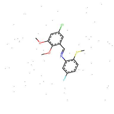 COc1cc(Cl)cc(/C=N/c2cc(F)ccc2SC)c1OC